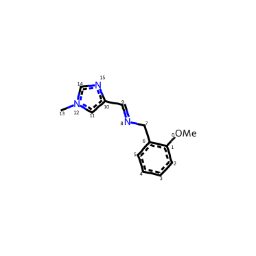 COc1ccccc1CN=Cc1cn(C)cn1